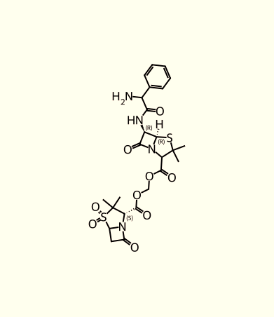 CC1(C)S[C@@H]2[C@H](NC(=O)C(N)c3ccccc3)C(=O)N2C1C(=O)OCOC(=O)[C@@H]1N2C(=O)CC2S(=O)(=O)C1(C)C